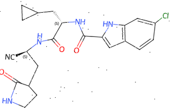 N#C[C@H](CC1CCNC1=O)NC(=O)[C@H](CC1CC1)NC(=O)c1cc2ccc(Cl)cc2[nH]1